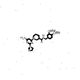 COc1ccc(CNC(=O)C2CCCN(c3cc(C)nc(-n4ccnc4)n3)C2)cc1OC